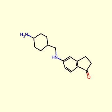 NC1CCC(CNc2ccc3c(c2)CCC3=O)CC1